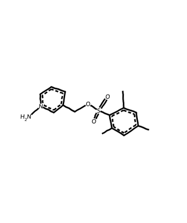 Cc1cc(C)c(S(=O)(=O)OCc2ccc[n+](N)c2)c(C)c1